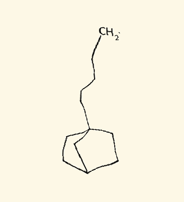 [CH2]CCCC12CCC(CC1)C2